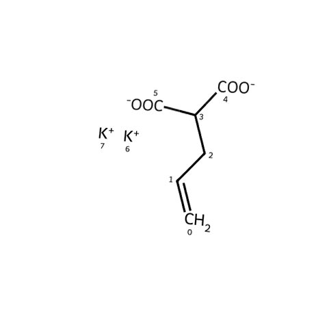 C=CCC(C(=O)[O-])C(=O)[O-].[K+].[K+]